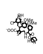 COc1ccc([C@H](Cc2c(Cl)c[n+](O)cc2Cl)c2c(CNC(C(=O)O[C@H]3CN4CCC3CC4)c3ccccc3)csc2C(=O)[O-])cc1OC